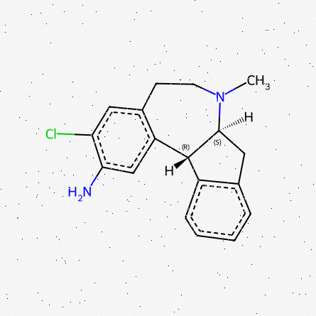 CN1CCc2cc(Cl)c(N)cc2[C@H]2c3ccccc3C[C@@H]21